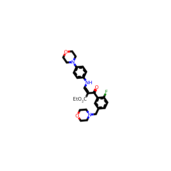 CCOC(=O)C(=CNc1ccc(N2CCOCC2)cc1)C(=O)c1cc(CN2CCOCC2)ccc1F